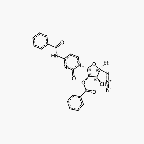 CC[C@@]1(N=[N+]=[N-])O[C@@H](n2ccc(NC(=O)c3ccccc3)nc2=O)[C@H](OC(=O)c2ccccc2)[C@@H]1C